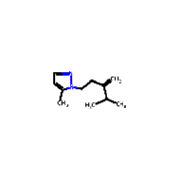 C=C(CCn1nccc1C)C(C)C